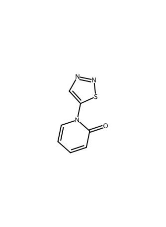 O=c1ccccn1-c1cnns1